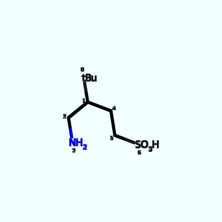 CC(C)(C)C(CN)CCS(=O)(=O)O